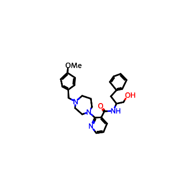 COc1ccc(CN2CCCN(c3ncccc3C(=O)NC(CO)Cc3ccccc3)CC2)cc1